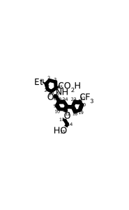 CC[C@H]1CC[C@@](NC(=O)c2ccc(OCCO)c(-c3cccc(C(F)(F)F)c3)c2)(C(=O)O)CC1